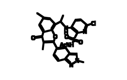 CC(=O)NS(=O)(=O)c1nc(Cl)ccc1NC(C)c1cc(C)cc2c(=O)c(C)c(-c3ccc4nn(C)cc4c3)oc12